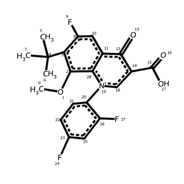 COc1c(C(C)(C)C)c(F)cc2c(=O)c(C(=O)O)cn(-c3ccc(F)cc3F)c12